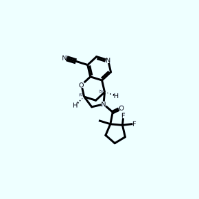 CC1(C(=O)N2C[C@@H]3C[C@H]2c2cncc(C#N)c2O3)CCCC1(F)F